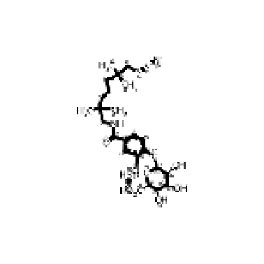 CC(C)(CCCC(C)(C)CNC(=O)c1ccc(O[C@@H]2O[C@H](C(=O)O)[C@H](O)[C@H](O)[C@@H]2O)c(O[SH]=O)c1)CN=[N+]=[N-]